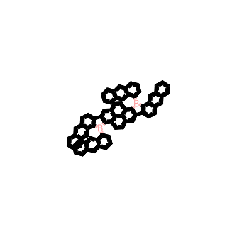 c1ccc2cc3c(B4c5c(ccc6cc7ccccc7cc56)-c5cc6ccc7c8c(cc9ccc(c54)c6c97)-c4ccc5cc6ccccc6cc5c4B8c4cccc5cc6ccccc6cc45)cccc3cc2c1